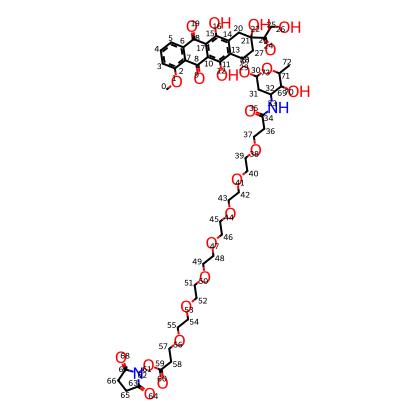 COc1cccc2c1C(=O)c1c(O)c3c(c(O)c1C2=O)CC(O)(C(=O)CO)C[C@@H]3OC1CC(NC(=O)CCOCCOCCOCCOCCOCCOCCOCCC(=O)ON2C(=O)CCC2=O)C(O)C(C)O1